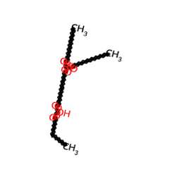 CCCCCCCC/C=C\CCCCCCCC(=O)OCC(O)COC(=O)CCCCCCC/C=C/CCCCCCCC(=O)OC(COC(=O)CCCCCCCCCCCCCCCCC)COC(=O)CCCCCCCCCCCCCCCCC